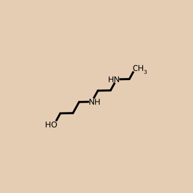 CCNCCNCCCO